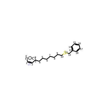 CCCCCCCC/C=C\CCCCCCCCSCc1ccccc1